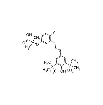 CC(C)(Oc1ccc(Cl)c(CCSc2cc(C(C)(C)C)c(O)c(C(C)(C)C)c2)c1)C(=O)O